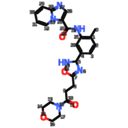 Cc1ccc(C2N=C(CCC(=O)N3CCOCC3)ON2)cc1NC(=O)c1cnc2ccccn12